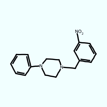 O=[N+]([O-])c1cccc(CN2CCN(c3ccccc3)CC2)c1